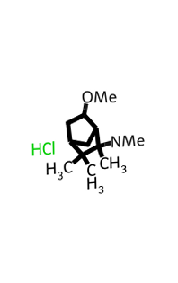 CNC1(C)C2CC(CC2OC)C1(C)C.Cl